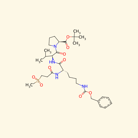 CC(C)[C@H](NC(=O)[C@H](CCCCNC(=O)OCc1ccccc1)NC(=O)CCS(C)(=O)=O)C(=O)N1CCC[C@H]1C(=O)OC(C)(C)C